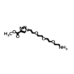 COC(=O)c1cn(CCOCCOCCOCCN)nn1